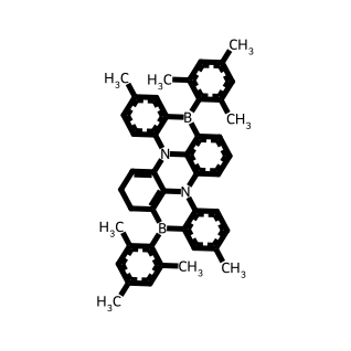 Cc1cc(C)c(B2C3=C4C(=CCC3)N3c5ccc(C)cc5B(c5c(C)cc(C)cc5C)c5cccc(c53)N4c3ccc(C)cc32)c(C)c1